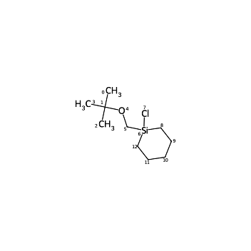 CC(C)(C)OC[Si]1(Cl)CCCCC1